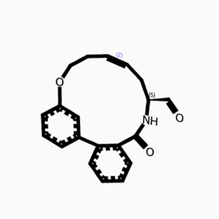 O=C[C@@H]1C/C=C\CCOc2cccc(c2)-c2ccccc2C(=O)N1